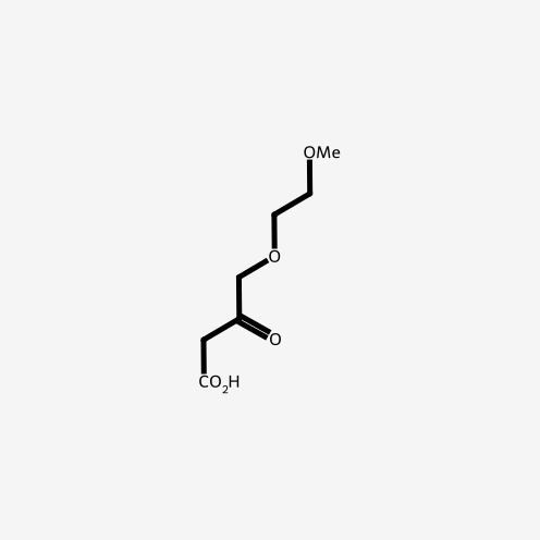 COCCOCC(=O)CC(=O)O